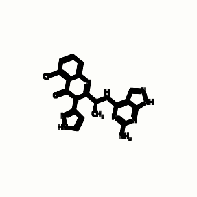 C[C@H](Nc1nc(N)nc2[nH]ncc12)c1nc2cccc(Cl)c2c(=O)n1-c1cc[nH]n1